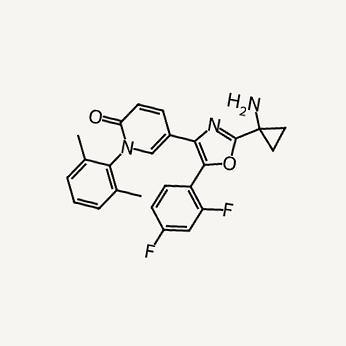 Cc1cccc(C)c1-n1cc(-c2nc(C3(N)CC3)oc2-c2ccc(F)cc2F)ccc1=O